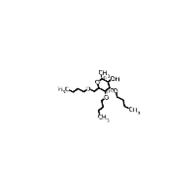 CCCCOCC1O[C@@H](C)C(O)[C@@H](OCCCC)[C@@H]1OCCCC